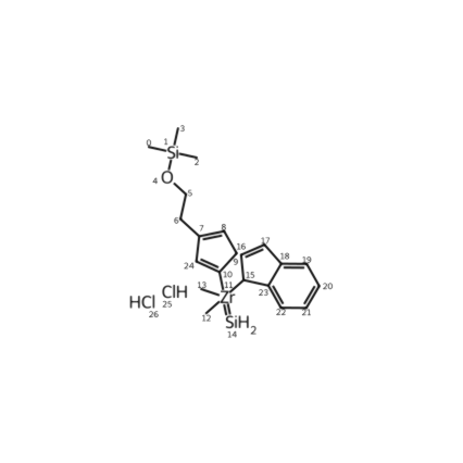 C[Si](C)(C)OCCC1=CC[C]([Zr]([CH3])([CH3])(=[SiH2])[CH]2C=Cc3ccccc32)=C1.Cl.Cl